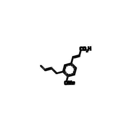 CC=CCc1cc(/C=C/C(=O)O)ccc1OC